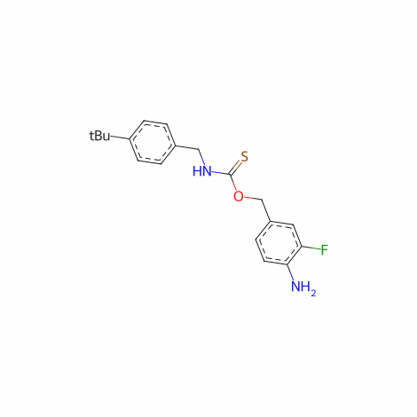 CC(C)(C)c1ccc(CNC(=S)OCc2ccc(N)c(F)c2)cc1